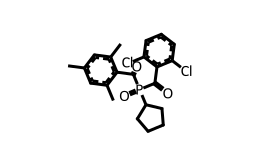 Cc1cc(C)c(C(=O)P(=O)(C(=O)c2c(Cl)cccc2Cl)C2CCCC2)c(C)c1